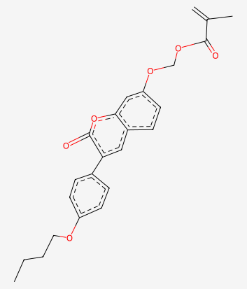 C=C(C)C(=O)OCOc1ccc2cc(-c3ccc(OCCCC)cc3)c(=O)oc2c1